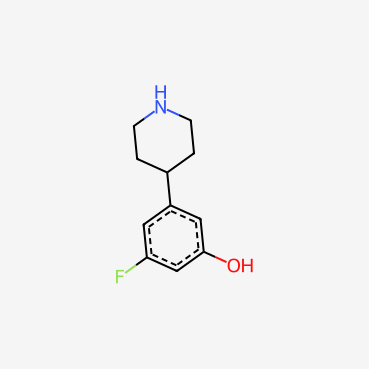 Oc1cc(F)cc(C2CCNCC2)c1